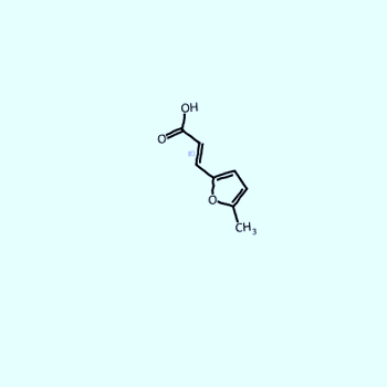 Cc1ccc(/C=C/C(=O)O)o1